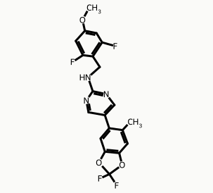 COc1cc(F)c(CNc2ncc(-c3cc4c(cc3C)OC(F)(F)O4)cn2)c(F)c1